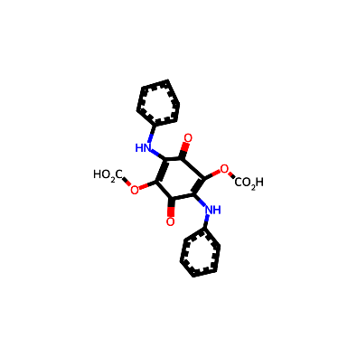 O=C(O)OC1=C(Nc2ccccc2)C(=O)C(OC(=O)O)=C(Nc2ccccc2)C1=O